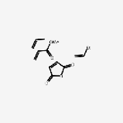 C=CC.C=CC(=O)OC.C=CCC.O=C1C=CC(=O)O1